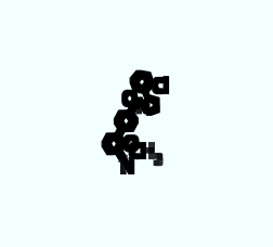 COc1c(C#N)cccc1-c1ccc(C(=O)N2CCC[C@@H]2c2ccccc2Cl)cc1